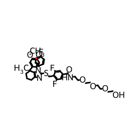 COc1cc(C2(C)CCCc3nc(SCc4c(F)cc(C(=O)NCCOCCOCCOCCO)cc4F)n(-c4ccc(F)cc4)c32)ccc1Cl